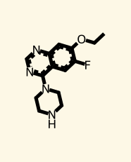 CCOc1cc2ncnc(N3CCNCC3)c2cc1F